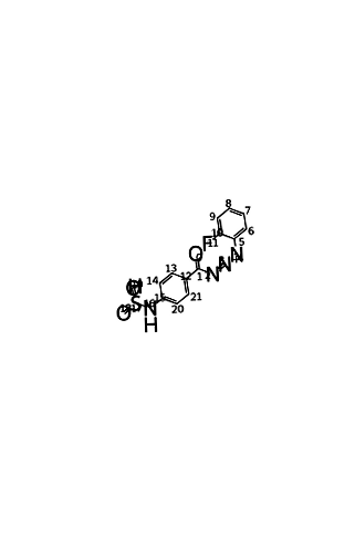 O=C(N=[N+]=Nc1ccccc1F)c1ccc(N[SH](=O)=O)cc1